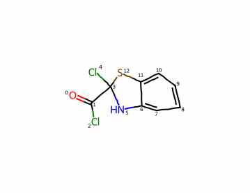 O=C(Cl)C1(Cl)Nc2ccccc2S1